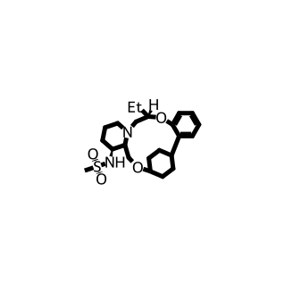 CC[C@H]1CN2CCC[C@H](NS(C)(=O)=O)C2COC2CCC(CC2)c2ccccc2O1